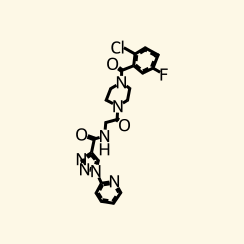 O=C(NCC(=O)N1CCN(C(=O)c2cc(F)ccc2Cl)CC1)c1cn(-c2ccccn2)nn1